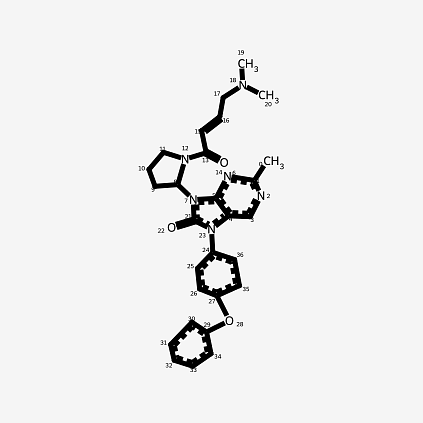 Cc1ncc2c(n1)n(C1CCCN1C(=O)/C=C/CN(C)C)c(=O)n2-c1ccc(Oc2ccccc2)cc1